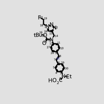 CCN(C(=O)O)c1ccc(/C=C/c2ccc(N(Cc3cn(CCF)nn3)C(=O)OC(C)(C)C)cc2)cc1